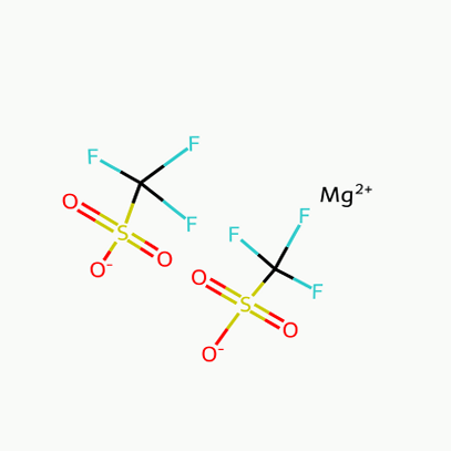 O=S(=O)([O-])C(F)(F)F.O=S(=O)([O-])C(F)(F)F.[Mg+2]